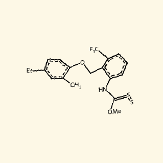 CCc1ccc(OCc2c(NC(OC)=S=S)cccc2C(F)(F)F)c(C)c1